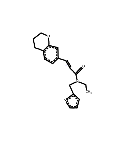 CCN(Cc1cccs1)C(=O)/C=C/c1ccc2c(c1)OCCC2